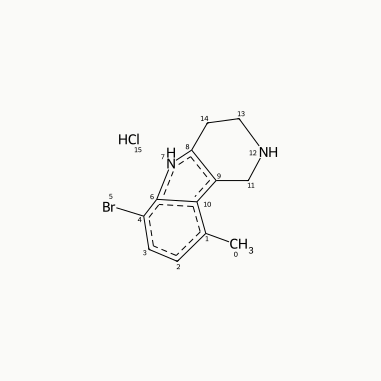 Cc1ccc(Br)c2[nH]c3c(c12)CNCC3.Cl